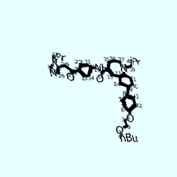 CCCCOCCOc1ccc(-c2ccc3c(c2)C=C(C(=O)Nc2ccc(C(=O)Cc4cncn4CCC)cc2)CCCN3CC(C)C)cc1